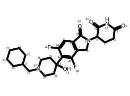 O=C1CCC(N2Cc3c(cc(F)c(C4(O)CCN(CC5CCCCC5)CC4)c3F)C2=O)C(=O)N1